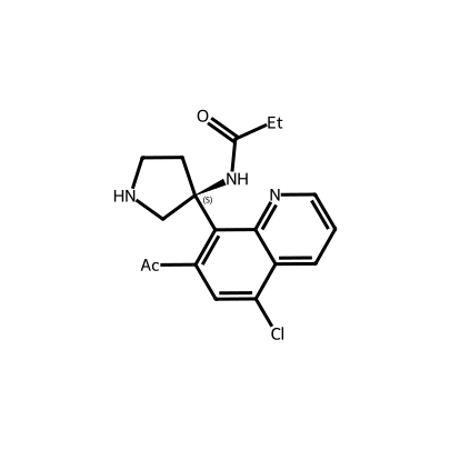 CCC(=O)N[C@]1(c2c(C(C)=O)cc(Cl)c3cccnc23)CCNC1